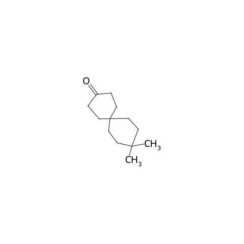 CC1(C)CCC2(CCC(=O)CC2)CC1